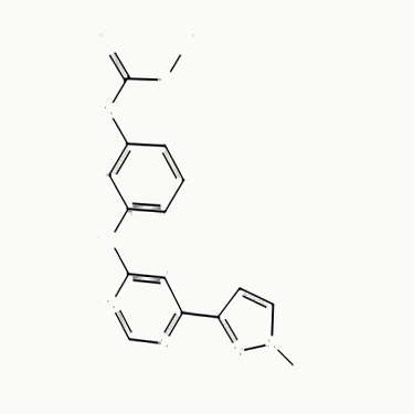 Cn1ccc(-c2cc(Oc3cccc(NC(=O)OC(C)(C)C)c3)ncn2)n1